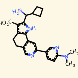 CN(C)c1ccc(-c2cc3c(cn2)CCc2c-3[nH]c(C(N)C3CCC3)c2C(=O)O)cn1